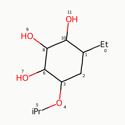 CCC1CC(OC(C)C)C(O)C(O)C1O